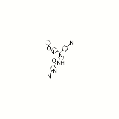 N#Cc1ccc([C@H](c2ccc(OC3CCCC3)nc2)N2CCC(NC(=O)c3ccc(C#N)nc3)C2)cc1